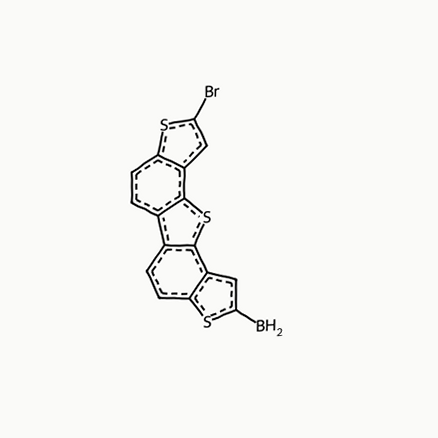 Bc1cc2c(ccc3c4ccc5sc(Br)cc5c4sc23)s1